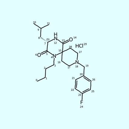 CCCCN1C(=O)[C@H](CC(C)C)NC(=O)C12CCN(Cc1ccc(F)cc1)CC2.Cl